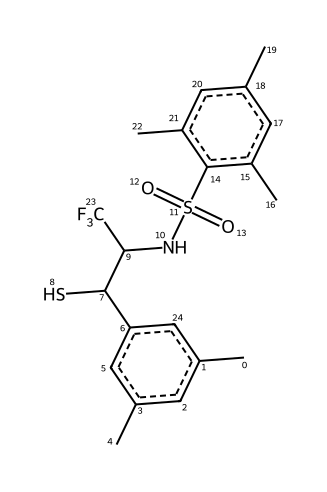 Cc1cc(C)cc(C(S)C(NS(=O)(=O)c2c(C)cc(C)cc2C)C(F)(F)F)c1